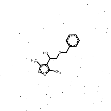 Cc1noc(C)c1C(O)COCc1ccccc1